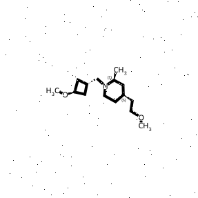 COCC[C@H]1CCN(C[C@H]2C[C@H](OC)C2)[C@@H](C)C1